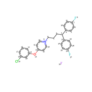 Fc1ccc(C(CCC[n+]2ccc(Oc3cccc(Cl)c3)cc2)c2ccc(F)cc2)cc1.[I-]